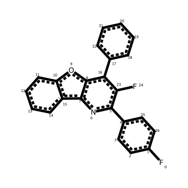 Fc1ccc(-c2nc3c(oc4ccccc43)c(-c3ccccc3)c2F)cc1